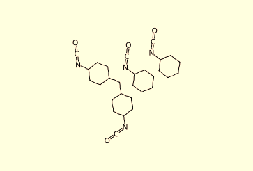 O=C=NC1CCC(CC2CCC(N=C=O)CC2)CC1.O=C=NC1CCCCC1.O=C=NC1CCCCC1